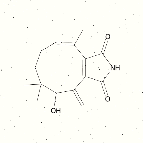 C=C1C2=C(C(=O)NC2=O)/C(C)=C\CCC(C)(C)C1O